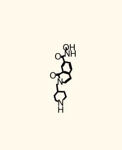 O=C(NO)c1ccc2ccn(CC3CCNCC3)c(=O)c2c1